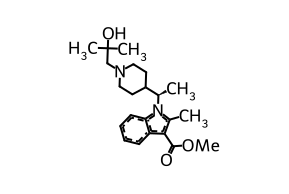 COC(=O)c1c(C)n([C@H](C)C2CCN(CC(C)(C)O)CC2)c2ccccc12